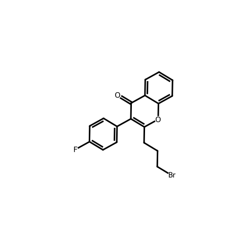 O=c1c(-c2ccc(F)cc2)c(CCCBr)oc2ccccc12